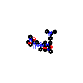 c1ccc(C2=NC(c3ccc4c(c3)NC(c3ccccc3)c3c-4oc4c5ccccc5n(-c5ccccc5)c34)NC(c3ccccc3-c3ccc(-c4nc5cc(-c6ccc(-c7cc(-c8ccccc8)nc(-c8ccccc8)n7)cc6)ccc5c5oc6c7ccccc7n(-c7ccccc7)c6c45)cc3)=N2)cc1